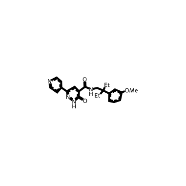 CCC(CC)(CNC(=O)c1cc(-c2ccncc2)n[nH]c1=O)c1cccc(OC)c1